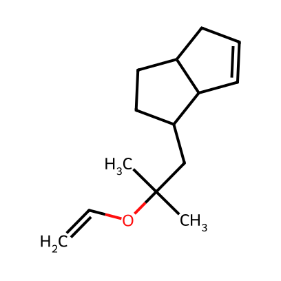 C=COC(C)(C)CC1CCC2CC=CC21